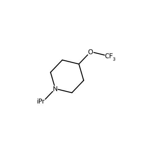 CC(C)N1CCC(OC(F)(F)F)CC1